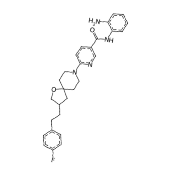 Nc1ccccc1NC(=O)c1ccc(N2CCC3(CC2)CC(CCc2ccc(F)cc2)CO3)nc1